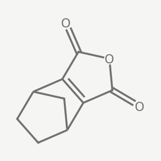 O=C1OC(=O)C2=C1C1CCC2C1